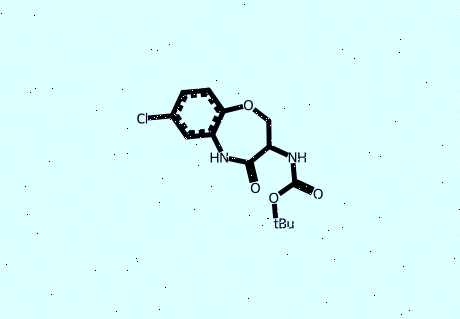 CC(C)(C)OC(=O)NC1COc2ccc(Cl)cc2NC1=O